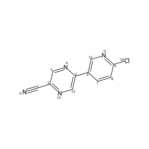 N#Cc1cnc(-c2ccc(Cl)nc2)cn1